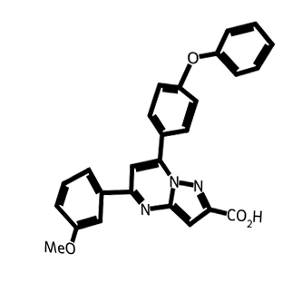 COc1cccc(-c2cc(-c3ccc(Oc4ccccc4)cc3)n3nc(C(=O)O)cc3n2)c1